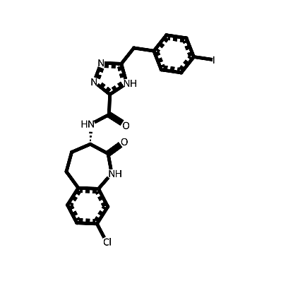 O=C(N[C@H]1CCc2ccc(Cl)cc2NC1=O)c1nnc(Cc2ccc(I)cc2)[nH]1